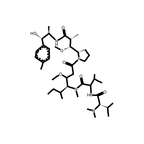 CCC(C)[C@@H](C(CC(=O)N1CCC[C@H]1[C@H](OC)[C@@H](C)C(=O)N[C@H](C)[C@@H](O)c1ccc(C)cc1)OC)N(C)C(=O)C(NC(=O)[C@H](C(C)C)N(C)C)C(C)C